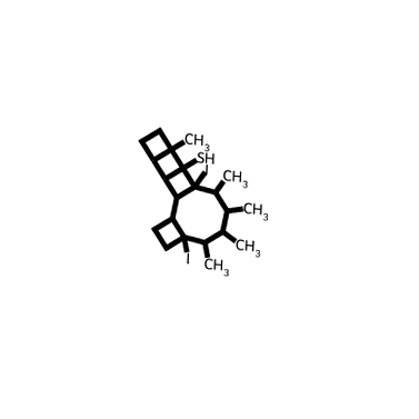 CC1C(C)C(C)C2(I)C(C3CCC3(I)C1C)C1C3CCC3(C)C12S